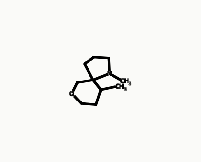 CC1CCOCC12CCCN2C